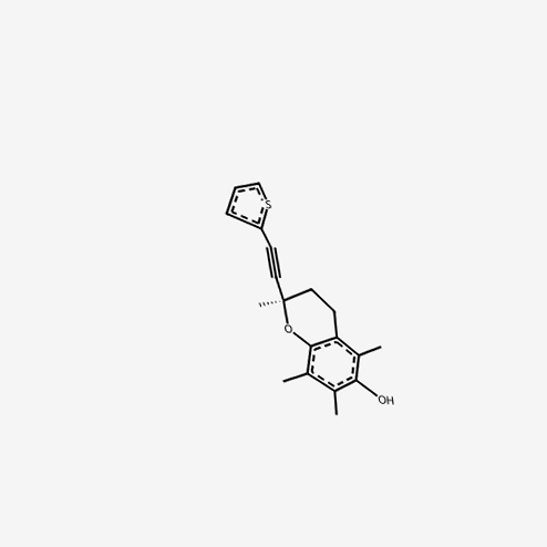 Cc1c(C)c2c(c(C)c1O)CC[C@](C)(C#Cc1cccs1)O2